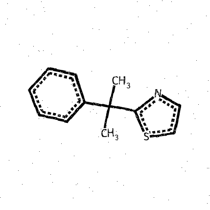 CC(C)(c1ccccc1)c1nccs1